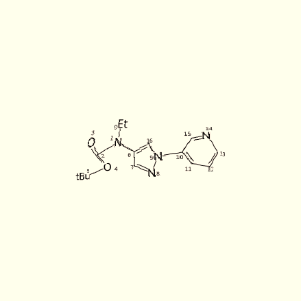 CCN(C(=O)OC(C)(C)C)c1cnn(-c2cccnc2)c1